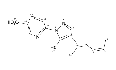 C/C=C\C=C(/C)c1cnn(-c2ccc(C(=O)O)cn2)c1O